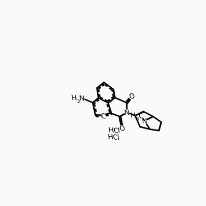 CN1C2CCC1CC(N1C(=O)c3cccc4c(N)ccc(c34)C1=O)C2.Cl.Cl